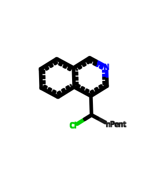 CCCCCC(Cl)c1cncc2ccccc12